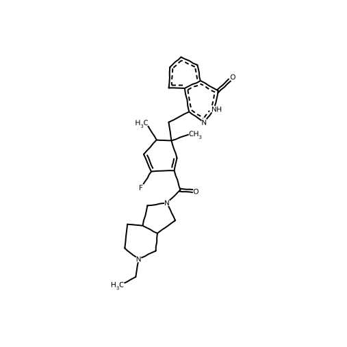 CCN1CCC2CN(C(=O)C3=CC(C)(Cc4n[nH]c(=O)c5ccccc45)C(C)C=C3F)CC2C1